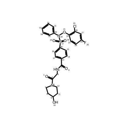 O=C(NCC(=O)N1CCC(O)CC1)c1ccc(S(=O)(=O)N(Oc2ccc(F)cc2Cl)c2ccccc2)cc1